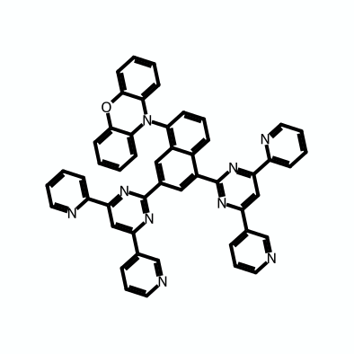 c1ccc(-c2cc(-c3cccnc3)nc(-c3cc(-c4nc(-c5cccnc5)cc(-c5ccccn5)n4)c4cccc(N5c6ccccc6Oc6ccccc65)c4c3)n2)nc1